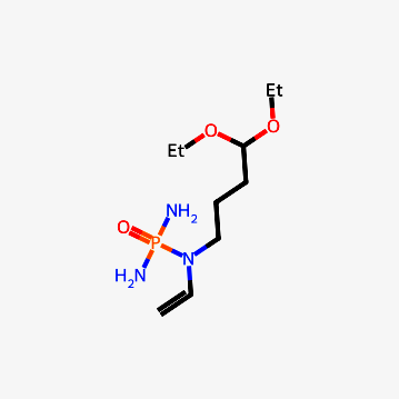 C=CN(CCCC(OCC)OCC)P(N)(N)=O